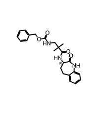 CC(C)(CNC(=O)OCc1ccccc1)C(=O)N[C@@H]1CCc2ccccc2NC1=O